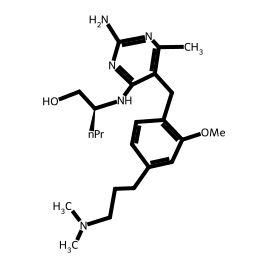 CCC[C@@H](CO)Nc1nc(N)nc(C)c1Cc1ccc(CCCN(C)C)cc1OC